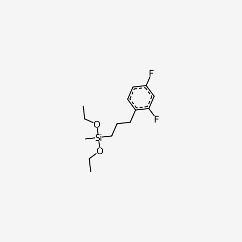 CCO[Si](C)(CCCc1ccc(F)cc1F)OCC